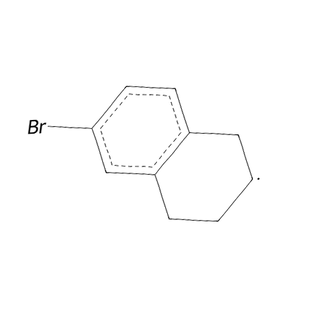 Brc1ccc2c(c1)CC[CH]C2